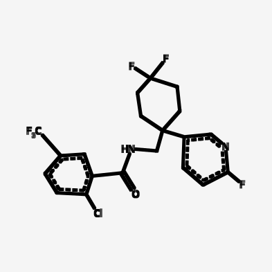 O=C(NCC1(c2ccc(F)nc2)CCC(F)(F)CC1)c1cc(C(F)(F)F)ccc1Cl